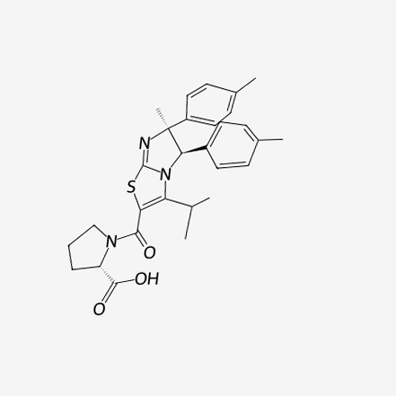 Cc1ccc([C@H]2N3C(=N[C@@]2(C)c2ccc(C)cc2)SC(C(=O)N2CCC[C@H]2C(=O)O)=C3C(C)C)cc1